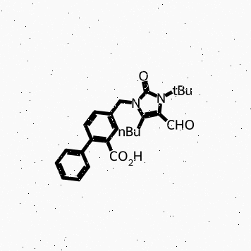 CCCCc1c(C=O)n(C(C)(C)C)c(=O)n1Cc1ccc(-c2ccccc2)c(C(=O)O)c1